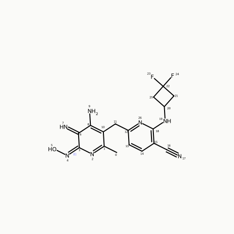 CC1=N/C(=N/O)C(=N)C(N)=C1Cc1ccc(C#N)c(NC2CC(F)(F)C2)n1